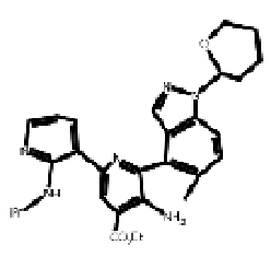 CCOC(=O)c1cc(-c2cccnc2NC(C)C)nc(-c2c(C)ccc3c2cnn3C2CCCCO2)c1N